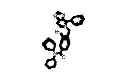 O=C(c1ccc(Cn2ccc3ncnc-3c2-c2ccccc2)c(Br)c1)N(C1CCCCC1)C1CCCC1